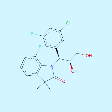 CC1(C)C(=O)N([C@@H](c2cc(F)cc(Cl)c2)[C@H](O)CO)c2c(F)cccc21